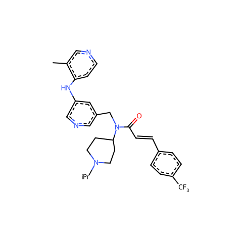 Cc1cnccc1Nc1cncc(CN(C(=O)C=Cc2ccc(C(F)(F)F)cc2)C2CCN(C(C)C)CC2)c1